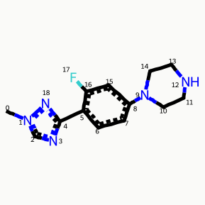 Cn1cnc(-c2ccc(N3CCNCC3)cc2F)n1